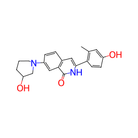 Cc1cc(O)ccc1-c1cc2ccc(N3CCCC(O)C3)cc2c(=O)[nH]1